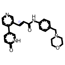 O=C(/C=C/c1cnccc1-c1ccc(=O)[nH]c1)Nc1ccc(CN2CCOCC2)cc1